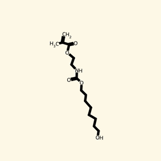 C=C(C)C(=O)OCCNC(=O)OCCCCCCCCO